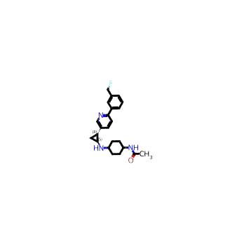 CC(=O)NC1CCC(N[C@H]2C[C@@H]2c2ccc(-c3cccc(CF)c3)nc2)CC1